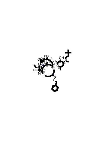 CC[C@H]1OC(=O)[C@@](C)(F)C(=O)[C@H](C)[C@@H](O[C@@H]2O[C@H](C)C[C@H](N(C)CCC(C)(C)C)[C@H]2O)[C@@]2(C)C[C@@H](C)/C(=N\C(C)=O)[C@H](C)[C@@H](OCC/C(=N\OCc3ccccc3)CO2)[C@]1(C)O